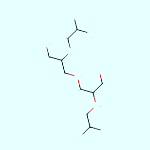 CCCCC(CC)COC(CO)COCC(CO)OCC(CC)CCCC